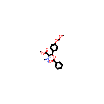 CN[C@H](C(=O)OC)C(OC(=O)c1ccccc1)c1ccc(OCOC)cc1